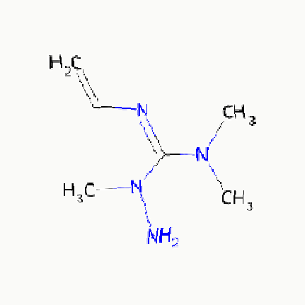 C=C/N=C(/N(C)C)N(C)N